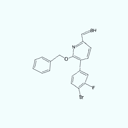 B=Cc1ccc(-c2ccc(Br)c(F)c2)c(OCc2ccccc2)n1